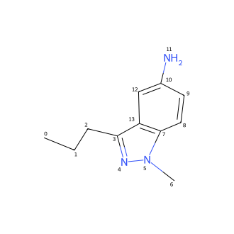 CCCc1nn(C)c2ccc(N)cc12